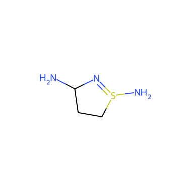 NC1CCS(N)=N1